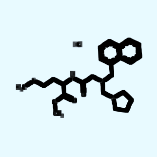 COC(=O)C(CCSC)NC(=O)CN(Cc1cccc2ccccc12)CN1CCCC1.Cl